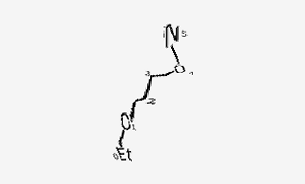 CCOCCO[N]